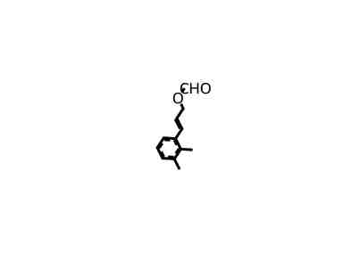 Cc1cccc(/C=C/CO[C]=O)c1C